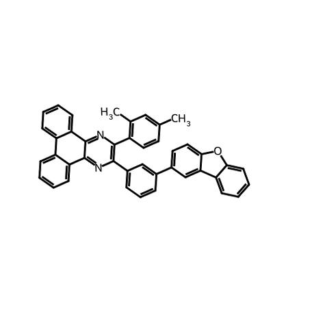 Cc1ccc(-c2nc3c4ccccc4c4ccccc4c3nc2-c2cccc(-c3ccc4oc5ccccc5c4c3)c2)c(C)c1